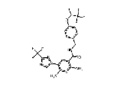 CC(Oc1ccc(CNC(=O)c2cc(-n3cnc(C(F)(F)F)n3)c(N)nc2N)cc1)C(F)(F)F